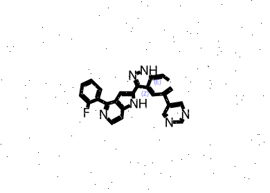 C=C(/C=c1/c(-c2cc3c(-c4ccccc4F)nccc3[nH]2)n[nH]/c1=C/C)c1cncnc1